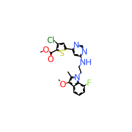 COC(=O)c1sc(-c2cc(NCCn3c(C)c(OC)c4cccc(F)c43)ncn2)cc1Cl